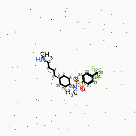 CNCCCC[C@H]1CC[C@H](N(C)S(=O)(=O)c2ccc(C(F)(F)F)cc2)CC1